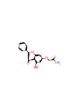 NC(=O)COc1cc(O)c2c(=O)cc(-c3ccccc3)oc2c1